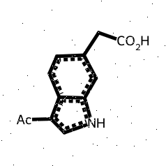 CC(=O)c1c[nH]c2cc(CC(=O)O)ccc12